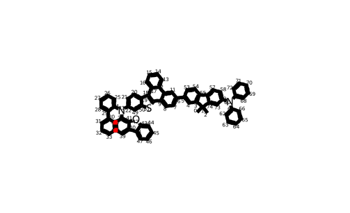 CC1(C)c2cc(-c3ccc4c(c3)c3ccccc3c3c5ccc(N(c6ccccc6-c6ccccc6)c6cccc7c6oc6ccccc67)cc5sc43)ccc2-c2ccc(N(c3ccccc3)c3ccccc3)cc21